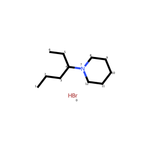 Br.CCCC(CC)N1CCCCC1